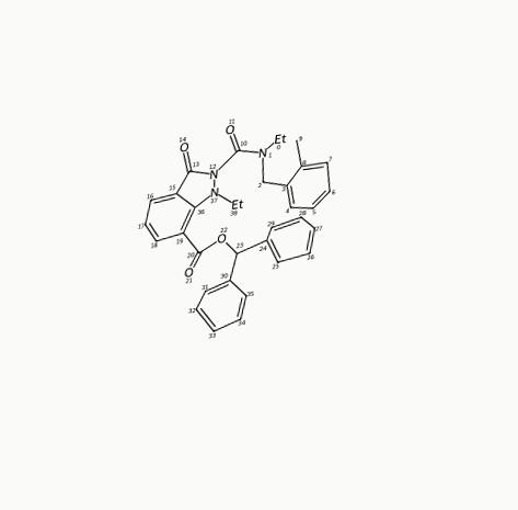 CCN(Cc1ccccc1C)C(=O)n1c(=O)c2cccc(C(=O)OC(c3ccccc3)c3ccccc3)c2n1CC